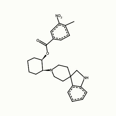 Cc1ccc(C(=O)O[C@@H]2CCCC[C@@H]2N2CCC3(CC2)CNc2ccccc23)cc1[N+](=O)[O-]